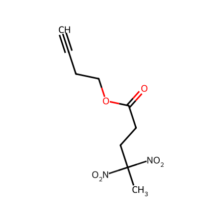 C#CCCOC(=O)CCC(C)([N+](=O)[O-])[N+](=O)[O-]